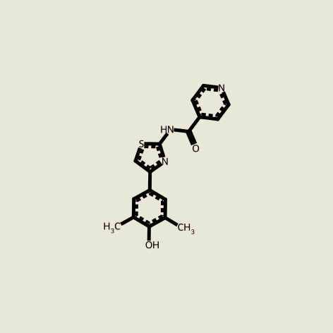 Cc1cc(-c2csc(NC(=O)c3ccncc3)n2)cc(C)c1O